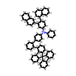 c1ccc(N(c2ccc(-c3ccccc3-c3cccc4c3-c3ccccc3C43c4ccccc4-c4ccccc43)cc2)c2ccc(-c3cccc4ccccc34)c(-c3ccc4ccccc4c3)c2)cc1